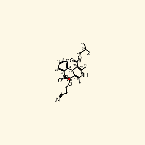 CC1=C(C(=O)OCCC#N)C(c2ccccc2[N+](=O)[O-])C(C(=O)OCC(C)C)=C(C)N1